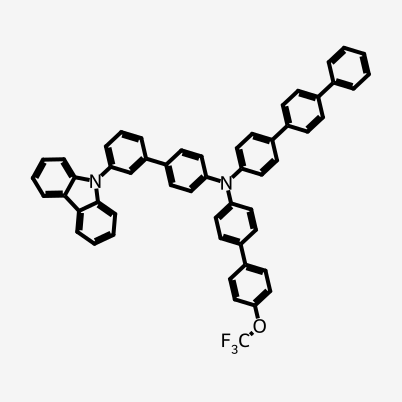 FC(F)(F)Oc1ccc(-c2ccc(N(c3ccc(-c4ccc(-c5ccccc5)cc4)cc3)c3ccc(-c4cccc(-n5c6ccccc6c6ccccc65)c4)cc3)cc2)cc1